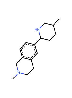 CC1CCC(c2ccc3c(c2)CCN(C)C3)NC1